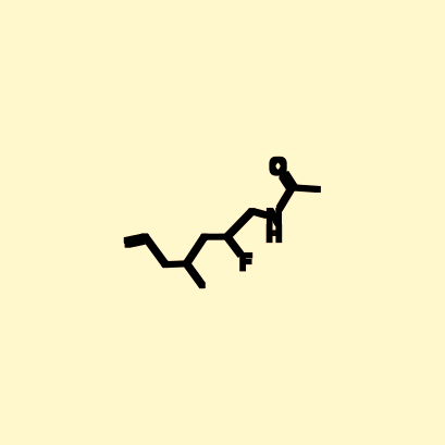 C=CCC(C)CC(F)CNC(C)=O